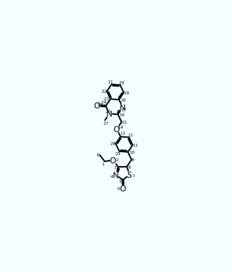 CCOC1=NC(=O)SC1Cc1ccc(OCc2nc3ccccc3c(=O)n2C)cc1